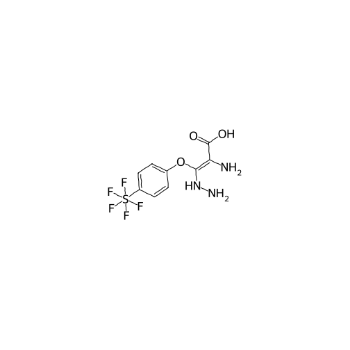 NN/C(Oc1ccc(S(F)(F)(F)(F)F)cc1)=C(\N)C(=O)O